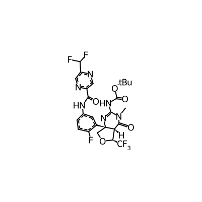 CN1C(=O)[C@@H]2[C@@H](C(F)(F)F)OC[C@]2(c2cc(NC(=O)c3cnc(C(F)F)cn3)ccc2F)N=C1NC(=O)OC(C)(C)C